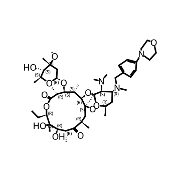 CC[C@H]1OC(=O)[C@H](C)[C@@H](O[C@H]2C[C@@](C)(OC)[C@@H](O)[C@H](C)O2)[C@H](C)[C@@H](O[C@@H]2O[C@H](C)C[C@@H](N(C)Cc3ccc(N4CCOCC4)cc3)[C@@H]2N(C)C)[C@@](C)(OC)C[C@@H](C)C(=O)[C@H](C)[C@@H](O)[C@]1(C)O